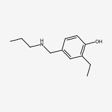 CCCNCc1ccc(O)c(CC)c1